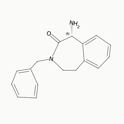 N[C@H]1C(=O)N(Cc2ccccc2)CCc2ccccc21